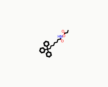 CCC(=O)ONC(=O)CCCCCCC(c1ccccc1)(c1ccccc1)c1ccccc1